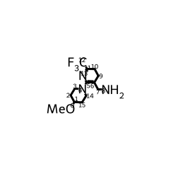 COC1CCN(C2=C(CN)CCC(C(F)(F)F)=N2)CC1